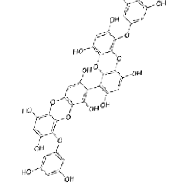 Oc1cc(O)cc(Oc2c(O)cc(O)c3c2Oc2c(cc(O)c(-c4c(O)cc(O)c5c4Oc4c(O)cc(O)c(Oc6cc(O)cc(O)c6)c4O5)c2O)O3)c1